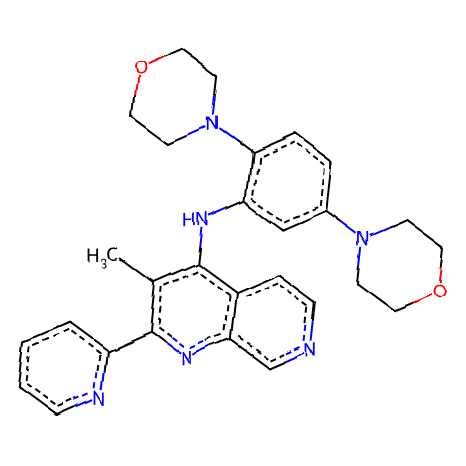 Cc1c(-c2ccccn2)nc2cnccc2c1Nc1cc(N2CCOCC2)ccc1N1CCOCC1